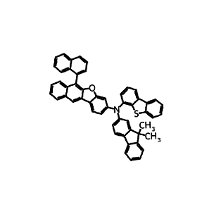 CC1(C)c2ccccc2-c2ccc(N(c3ccc4c(c3)oc3c(-c5cccc6ccccc56)c5ccccc5cc34)c3cccc4c3sc3ccccc34)cc21